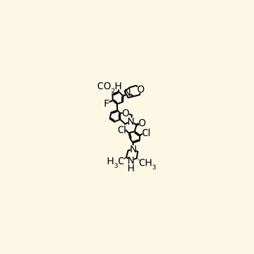 C[C@H]1CN(c2cc(Cl)c(C(=O)N3COc4c(cccc4-c4cc(N5C6CCC5COC6)c(C(=O)O)cc4F)C3)c(Cl)c2)C[C@H](C)N1